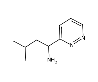 CC(C)CC(N)c1cccnn1